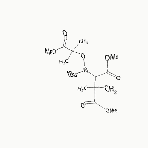 COC(=O)C(N(OC(C)(C)C(=O)OC)C(C)(C)C)C(C)(C)C(=O)OC